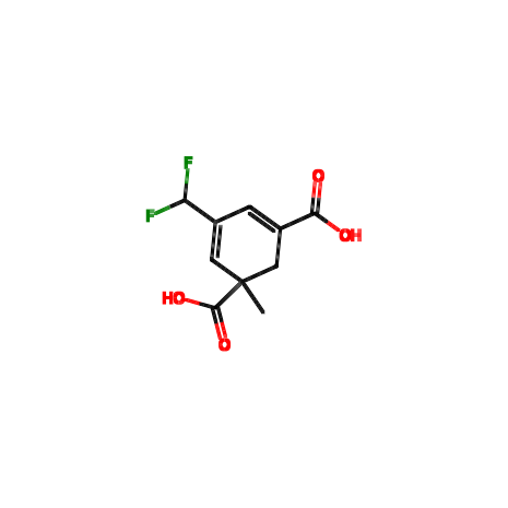 CC1(C(=O)O)C=C(C(F)F)C=C(C(=O)O)C1